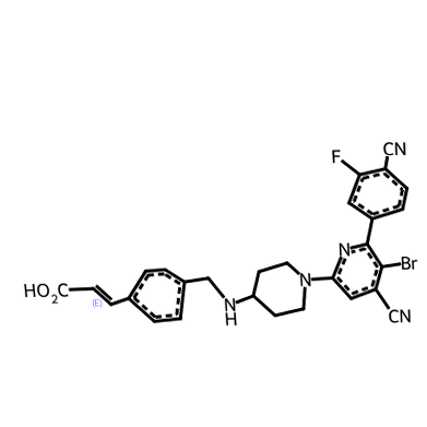 N#Cc1ccc(-c2nc(N3CCC(NCc4ccc(/C=C/C(=O)O)cc4)CC3)cc(C#N)c2Br)cc1F